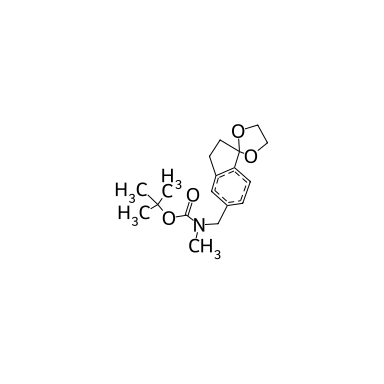 CN(Cc1ccc2c(c1)CCC21OCCO1)C(=O)OC(C)(C)C